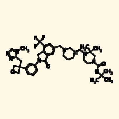 Cn1cnnc1CC1(c2cccc(N3Cc4c(cc(CN5CCC[C@H](CN6CCN(C(=O)OC(C)(C)C)CC6(C)C)C5)cc4C(F)(F)F)C3=O)c2)COC1